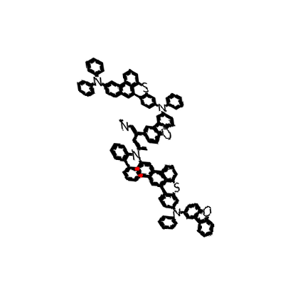 C=N/C=C(\C=C(/C)N(c1ccc2cc3c4c(cccc4c2c1)Sc1cc(N(c2ccccc2)c2ccc4oc5ccccc5c4c2)ccc1-3)c1ccccc1-c1ccccc1)c1ccc2oc3ccc(N(c4ccccc4)c4ccc5c(c4)Sc4cccc6c4c-5cc4ccc(N(c5ccccc5)c5ccccc5)cc46)cc3c2c1